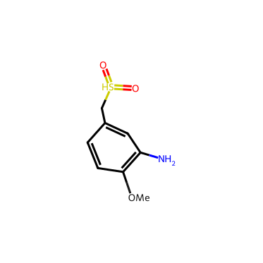 COc1ccc(C[SH](=O)=O)cc1N